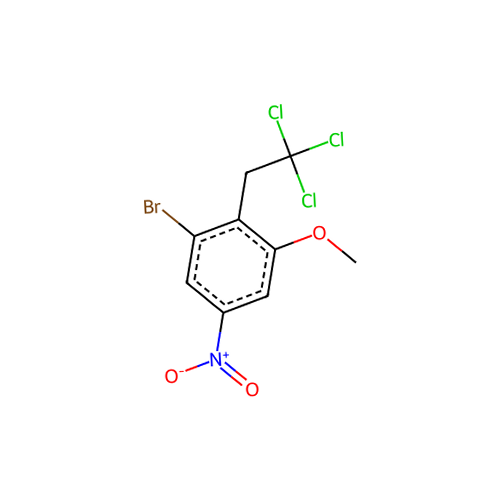 COc1cc([N+](=O)[O-])cc(Br)c1CC(Cl)(Cl)Cl